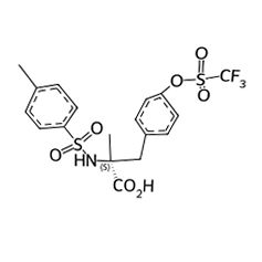 Cc1ccc(S(=O)(=O)N[C@@](C)(Cc2ccc(OS(=O)(=O)C(F)(F)F)cc2)C(=O)O)cc1